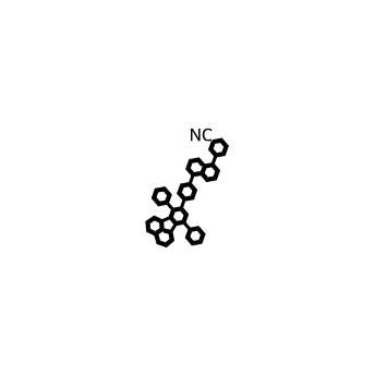 N#Cc1cccc(-c2cccc3c(-c4ccc(-c5cc(-c6ccccc6)c6c(c5-c5ccccc5)-c5cccc7cccc-6c57)cc4)cccc23)c1